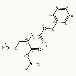 CC(C)OC(=O)[C@@H](CCO)NC(=O)OCc1ccccc1